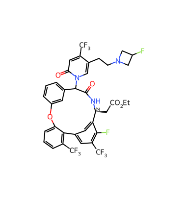 CCOC(=O)C[C@@H]1NC(=O)C(n2cc(CCN3CC(F)C3)c(C(F)(F)F)cc2=O)c2cccc(c2)Oc2cccc(C(F)(F)F)c2-c2cc1c(F)c(C(F)(F)F)c2